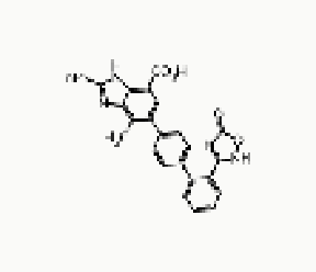 CCCc1nc2c(C)c(-c3ccc(-c4ccccc4-c4nc(=O)o[nH]4)cc3)cc(C(=O)O)c2[nH]1